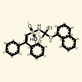 CCC(NS(=O)(=O)C=C(c1ccccc1)c1ccccc1)(Oc1cccc2ccccc12)C(=O)O